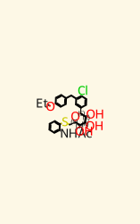 CCOc1ccc(Cc2cc([C@@H]3O[C@H](CSc4ccccc4NC(C)=O)[C@@H](O)[C@H](O)[C@H]3O)ccc2Cl)cc1